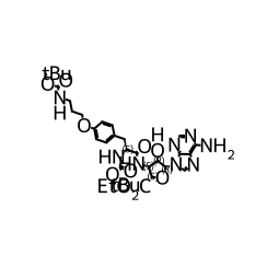 CCOC(=O)[C@H]1O[C@@H](n2cnc3c(N)ncnc32)[C@H](O)[C@@H]1NC(=O)[C@H](Cc1ccc(OCCCNC(=O)OC(C)(C)C)cc1)NC(=O)OC(C)(C)C